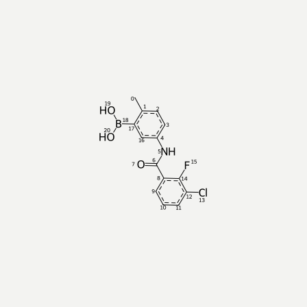 Cc1ccc(NC(=O)c2cccc(Cl)c2F)cc1B(O)O